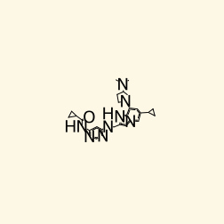 CN(C)C1CCN(c2cc(C3CC3)cn3cc(CNc4cc(NC(=O)C5CC5)ncn4)nc23)C1